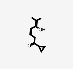 CC(C)=C(O)/C=C\CC(=O)C1CC1